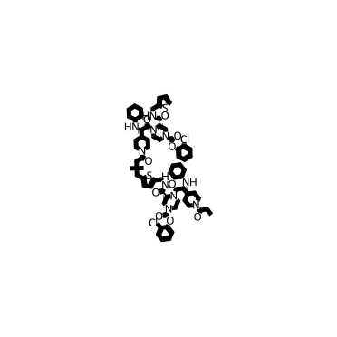 CCC(=O)N1CCC([C@@H](NC2CCCCC2)C(=O)N2CCN(C(=O)Oc3ccccc3Cl)C[C@H]2C(=O)NCc2ccc(CC(C)(C)CC(=O)N3CCC([C@@H](NC4CCCCC4)C(=O)N4CCN(C(=O)Oc5ccccc5Cl)C[C@H]4C(=O)NCc4cccs4)CC3)s2)CC1